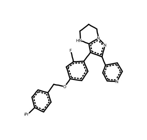 CC(C)c1ccc(COc2ccc(-c3c(-c4ccncc4)nn4c3NCCC4)c(F)c2)cc1